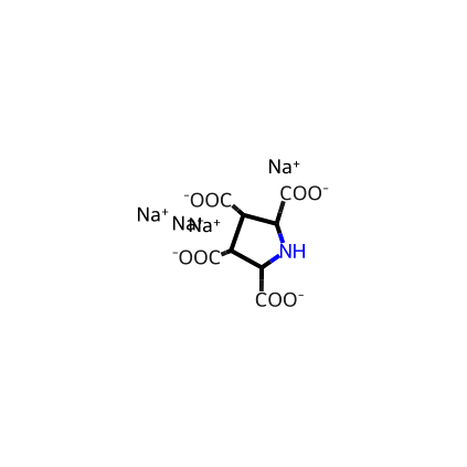 O=C([O-])C1NC(C(=O)[O-])C(C(=O)[O-])C1C(=O)[O-].[Na+].[Na+].[Na+].[Na+]